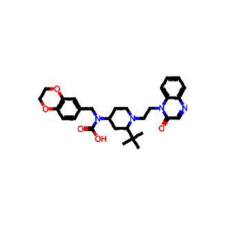 CC(C)(C)C1CC(N(Cc2ccc3c(c2)OCCO3)C(=O)O)CCN1CCn1c(=O)cnc2ccccc21